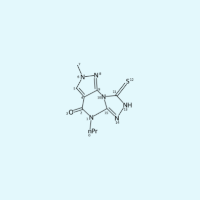 CCCn1c(=O)c2cn(C)nc2n2c(=S)[nH]nc12